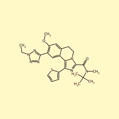 CCn1nnc(-c2cc3c(cc2OC)CCn2c(C(=O)N(C)C(C)(C)C)nc(-c4cccs4)c2-3)n1